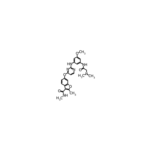 CNC(=O)c1c(C)oc2cc(Oc3ccnc(Nc4cc(NC(=O)CN(C)C)cc(OC)c4)n3)ccc12